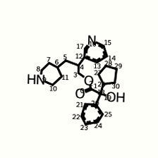 O=C(OCC(CC1CCNCC1)c1cccnc1)C(O)(c1ccccc1)C1CCCC1